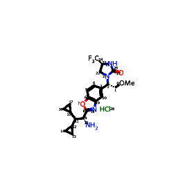 COC[C@H](c1ccc2oc([C@H](N)C(C3CC3)C3CC3)nc2c1)N1C[C@@H](C(F)(F)F)NC1=O.Cl